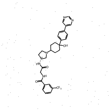 O=C(CNC(=O)c1cccc(C(F)(F)F)c1)N[C@@H]1CCN(C2CCC(O)(c3ccc(-c4cncnc4)cc3)CC2)C1